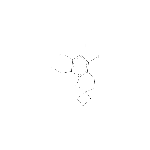 CC(C)c1c(O)c(C(C)C)c2c(c1CO)OC1(CCC1)CC2